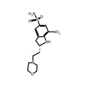 NS(=O)(=O)c1cc2c(c([N+](=O)[O-])c1)N[C@H](CCN1CCOCC1)C2